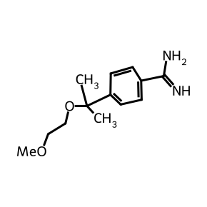 COCCOC(C)(C)c1ccc(C(=N)N)cc1